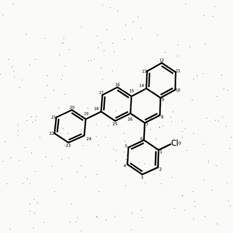 Clc1ccccc1-c1cc2ccccc2c2ccc(-c3ccccc3)cc12